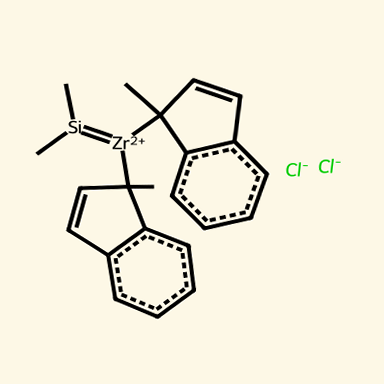 C[Si](C)=[Zr+2]([C]1(C)C=Cc2ccccc21)[C]1(C)C=Cc2ccccc21.[Cl-].[Cl-]